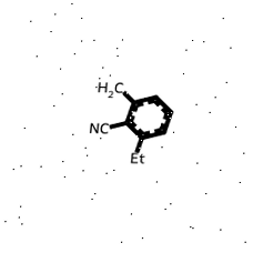 [CH2]c1cccc(CC)c1C#N